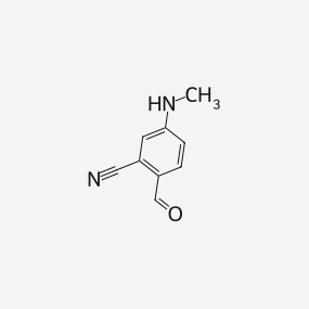 CNc1ccc(C=O)c(C#N)c1